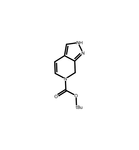 CC(C)(C)OC(=O)N1C=Cc2c[nH]nc2C1